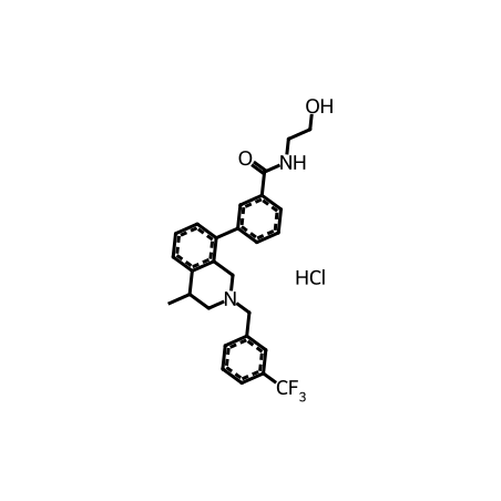 CC1CN(Cc2cccc(C(F)(F)F)c2)Cc2c(-c3cccc(C(=O)NCCO)c3)cccc21.Cl